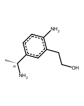 C[C@@H](N)c1ccc(N)c(CCO)c1